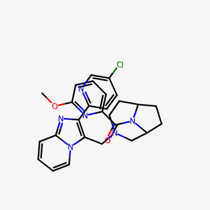 COc1cccc(C(=O)N2C3CCC2CN(Cc2c(-c4ccc(Cl)cn4)nc4ccccn24)CC3)n1